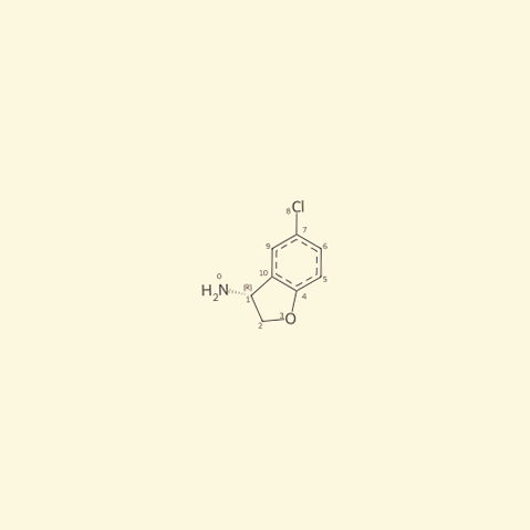 N[C@H]1COc2ccc(Cl)cc21